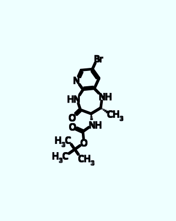 C[C@H]1Nc2cc(Br)cnc2NC(=O)[C@H]1NC(=O)OC(C)(C)C